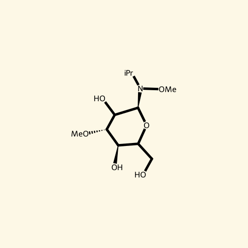 CO[C@@H]1C(O)[C@@H](N(OC)C(C)C)OC(CO)[C@H]1O